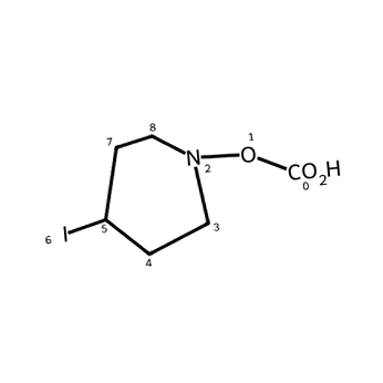 O=C(O)ON1CCC(I)CC1